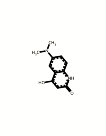 CN(C)c1ccc2[nH]c(=O)cc(O)c2c1